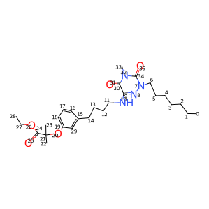 CCCCCCCn1nc(NCCCCc2cccc(OC(C)(C)C(=O)OCC)c2)c(=O)n(C)c1=O